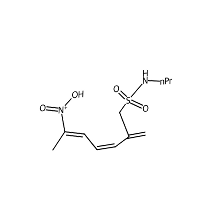 C=C(/C=C\C=C(/C)[N+](=O)O)CS(=O)(=O)NCCC